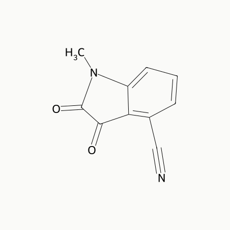 CN1C(=O)C(=O)c2c(C#N)cccc21